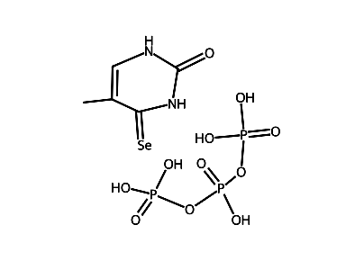 Cc1c[nH]c(=O)[nH]c1=[Se].O=P(O)(O)OP(=O)(O)OP(=O)(O)O